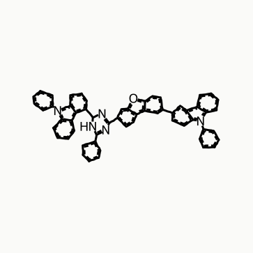 c1ccc(C2=NC(c3ccc4c(c3)oc3ccc(-c5ccc6c(c5)c5ccccc5n6-c5ccccc5)cc34)=NC(c3cccc4c3c3ccccc3n4-c3ccccc3)N2)cc1